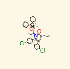 C=CC[C@@H]1C[C@H](c2cccc(Cl)c2)[C@@H](c2ccc(Cl)cc2)N(C(CC)CO[Si](c2ccccc2)(c2ccccc2)C(C)(C)C)C1=O